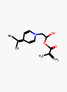 C=C(C)C(=O)OC(O)CN1C=CC(=C(C#N)C#N)C=C1